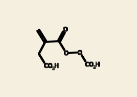 C=C(CC(=O)O)C(=O)OOC(=O)O